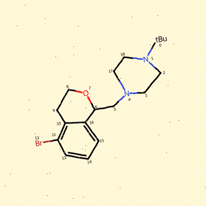 CC(C)(C)N1CCN(CC2OCCc3c(Br)cccc32)CC1